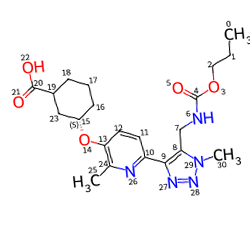 CCCOC(=O)NCc1c(-c2ccc(O[C@H]3CCCC(C(=O)O)C3)c(C)n2)nnn1C